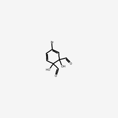 O=CC1(O)C=CC(Br)=CC1(O)C=O